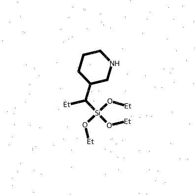 CCO[Si](OCC)(OCC)C(CC)C1CCCNC1